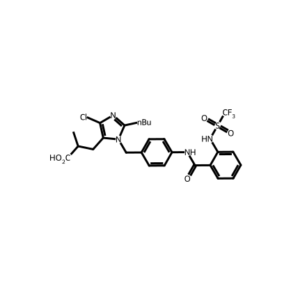 CCCCc1nc(Cl)c(CC(C)C(=O)O)n1Cc1ccc(NC(=O)c2ccccc2NS(=O)(=O)C(F)(F)F)cc1